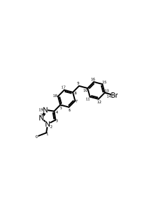 CCn1cc(-c2ccc(Cc3ccc(Br)cc3)cc2)nn1